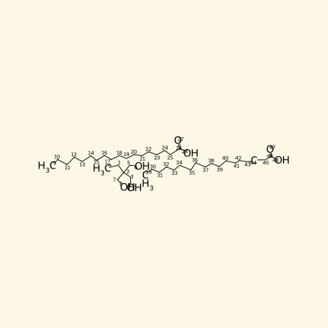 CCC(CO)(CO)CO.CCCCCCCCCCCCCCCCCC(=O)O.CCCCCCCCCCCCCCCCCC(=O)O